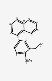 CSc1ccccc1CC(C)=O.c1ccc2ccccc2c1